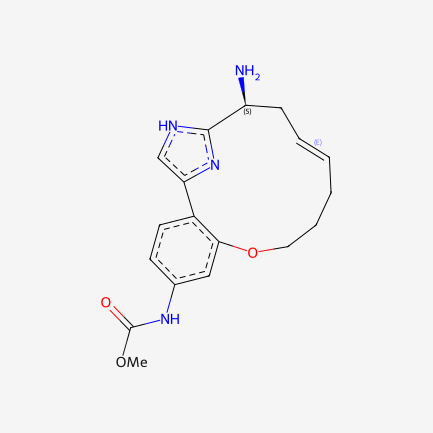 COC(=O)Nc1ccc2c(c1)OCCC/C=C/C[C@H](N)c1nc-2c[nH]1